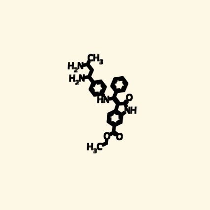 CCOC(=O)c1ccc2c(c1)NC(=O)C2=C(Nc1ccc(C(N)CC(C)N)cc1)c1ccccc1